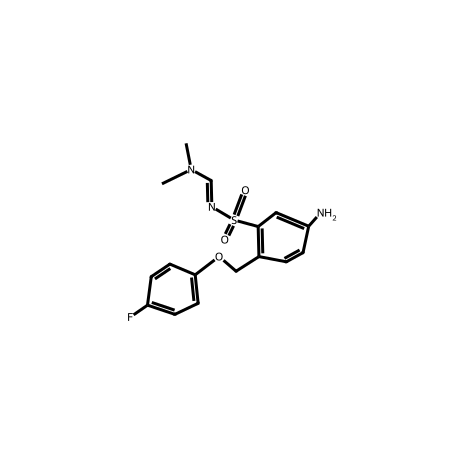 CN(C)/C=N/S(=O)(=O)c1cc(N)ccc1COc1ccc(F)cc1